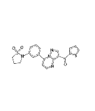 O=C(c1cccs1)c1cnn2c(-c3cccc(N4CCCS4(=O)=O)c3)ccnc12